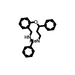 CNCCC(Oc1ccccc1CNCc1ccccc1)c1ccccc1